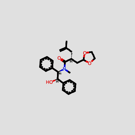 C=C(C)C[C@H](CC1OCCO1)C(=O)N(C)[C@H](c1ccccc1)[C@H](O)c1ccccc1